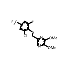 COc1ncc(CSc2c(F)cc(C(F)(F)F)cc2Cl)nc1OC